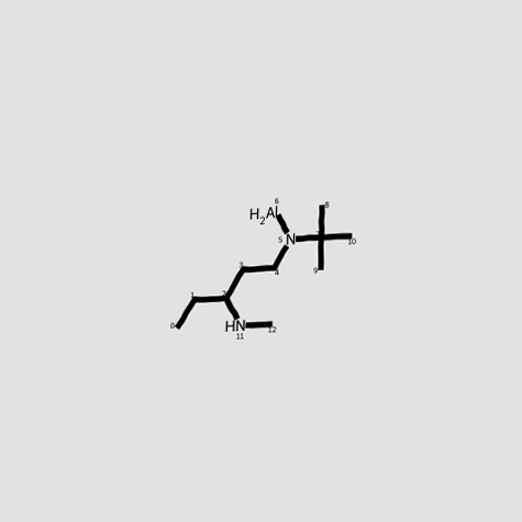 CCC(CC[N]([AlH2])C(C)(C)C)NC